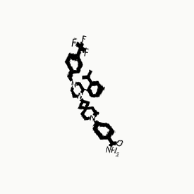 CC(C)c1ccccc1[C@@H]1CN(Cc2ccc(C(F)(F)F)cc2)CCN1C1CC2(CCN(c3ccc(C(N)=O)cc3)CC2)C1